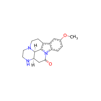 COc1ccc2c(c1)c1c3n2C(=O)C[C@H]2NCCN(CC1)[C@@H]32